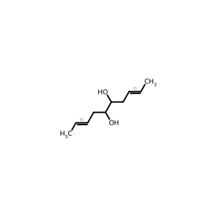 C/C=C/CC(O)C(O)C/C=C/C